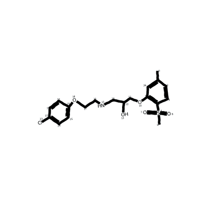 Cc1ccc(S(C)(=O)=O)c(OCC(O)CNCCOc2ccc(Cl)cc2)c1